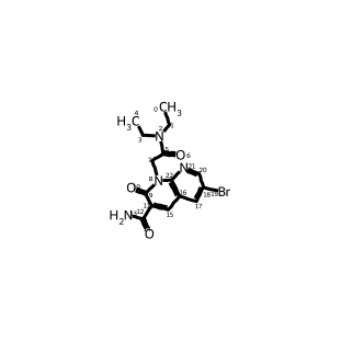 CCN(CC)C(=O)Cn1c(=O)c(C(N)=O)cc2cc(Br)cnc21